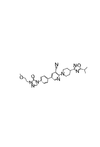 COCCn1ncn(-c2ccc(-c3cnc(N4CCC(c5noc(C(C)C)n5)CC4)c(C#N)c3)cc2)c1=O